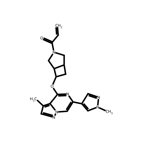 C=CC(=O)N1CC2CC(Oc3nc(-c4cnn(C)c4)cn4ncc(C)c34)C2C1